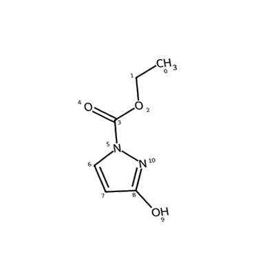 CCOC(=O)n1ccc(O)n1